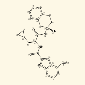 COc1cccc2[nH]c(C(=O)N[C@@H](CC3CC3)C(=O)N[C@@]3(C#N)CCc4cccnc4C3)cc12